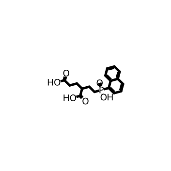 O=C(O)CCC(CCP(=O)(O)c1cccc2ccccc12)C(=O)O